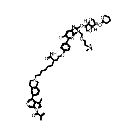 C=C(C)C(=O)n1cc(C)c2c(-c3ccc4c(c3)CCN(CCCCCCC(CCOc3ccc(-c5nc6c(cc5Cl)nc(O[C@@H]5CO[C@H]7[C@@H]5OC[C@H]7OC5CCCCO5)n6COCC[Si](C)(C)C)cc3)C(N)=O)C4)cncc21